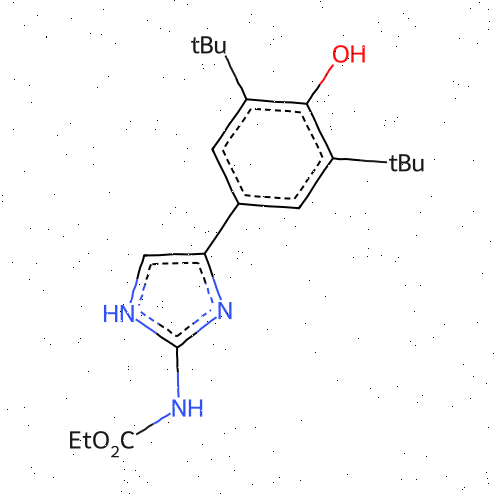 CCOC(=O)Nc1nc(-c2cc(C(C)(C)C)c(O)c(C(C)(C)C)c2)c[nH]1